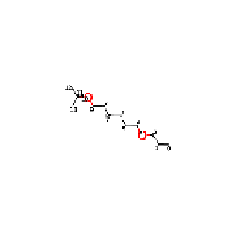 CCCOCCC[CH]CCOC(C)C